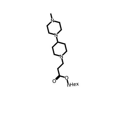 CCCCCCOC(=O)CCN1CCC(N2CCN(C)CC2)CC1